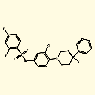 O=S(=O)(Nc1cnc(N2CCC(O)(c3ccccc3)CC2)c(Cl)c1)c1ccc(F)cc1F